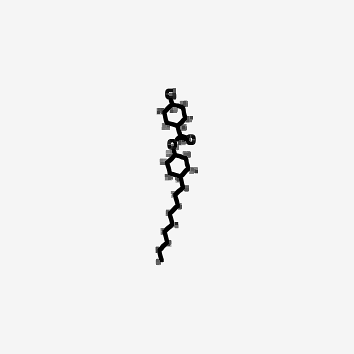 CCCCCCCCCC1CCC(OC(=O)C2CCC(Cl)CC2)CC1